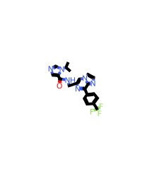 CC(C)n1cncc1C(=O)NCc1cn2ccnc2c(-c2ccc(C(F)(F)F)cc2)n1